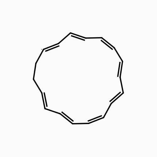 [C]1=C/C=C/C=C\C=C\C=C\C=C/C=C/C=C/CC/1